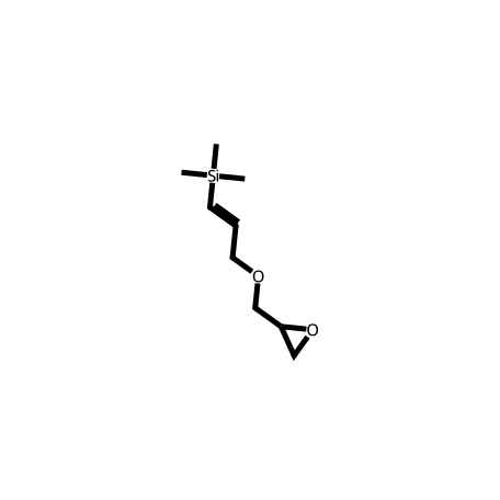 C[Si](C)(C)C=CCOCC1CO1